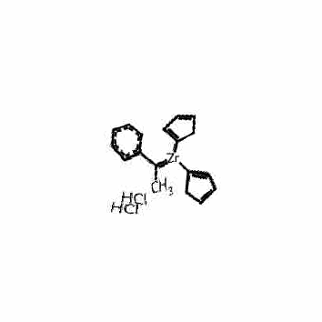 C[C](c1ccccc1)=[Zr]([C]1=CC=CC1)[C]1=CC=CC1.Cl.Cl